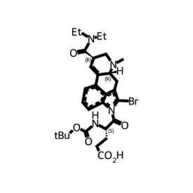 CCN(CC)C(=O)[C@@H]1C=C2c3cccc4c3c(c(Br)n4C(=O)[C@H](CCC(=O)O)NC(=O)OC(C)(C)C)C[C@H]2N(C)C1